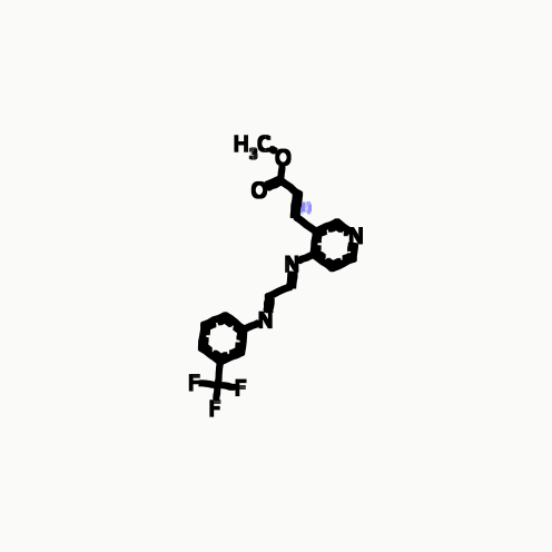 COC(=O)/C=C/c1cnccc1N=CC=Nc1cccc(C(F)(F)F)c1